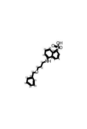 O=S(=O)(O)c1cccc2c(NCCCOCc3ccccc3)cccc12